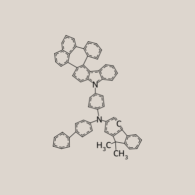 CC1(C)c2ccccc2-c2ccc(N(c3ccc(-c4ccccc4)cc3)c3ccc(-n4c5ccccc5c5c6c(ccc54)-c4cccc5cccc(c45)-c4ccccc4-6)cc3)cc21